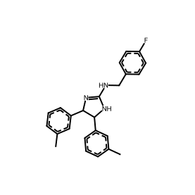 Cc1cccc(C2N=C(NCc3ccc(F)cc3)NC2c2cccc(C)c2)c1